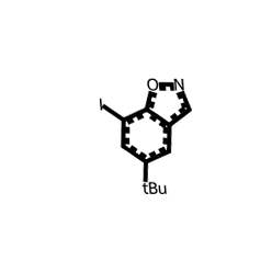 CC(C)(C)c1cc(I)c2oncc2c1